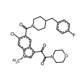 Cn1cc(C(=O)C(=O)N2CCOCC2)c2cc(C(=O)N3CCC(Cc4ccc(F)cc4)CC3)c(Cl)cc21